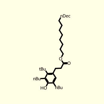 CCCCCCCCCCCCCCCCCCOC(=O)CCc1cc(CCCC)c(O)c(CCCC)c1C(C)(C)C